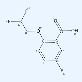 O=C(O)c1cc(F)ccc1OCC(F)F